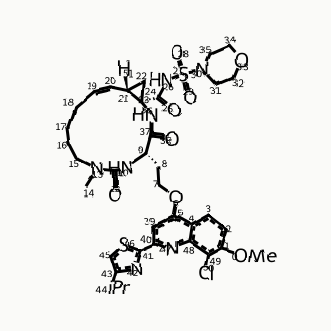 COc1ccc2c(OCC[C@@H]3NC(=O)N(C)CCCC/C=C\[C@@H]4C[C@@]4(C(=O)NS(=O)(=O)N4CCOCC4)NC3=O)cc(-c3nc(C(C)C)cs3)nc2c1Cl